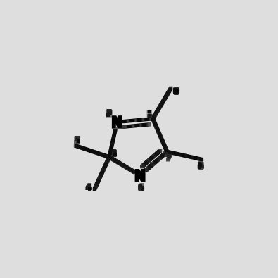 CC1=NC(C)(C)N=C1C